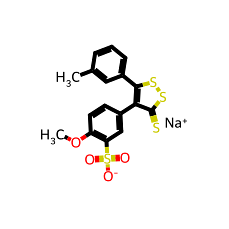 COc1ccc(-c2c(-c3cccc(C)c3)ssc2=S)cc1S(=O)(=O)[O-].[Na+]